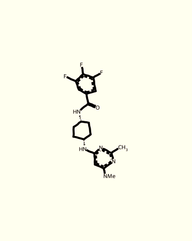 CNc1cc(N[C@H]2CC[C@@H](NC(=O)c3cc(F)c(F)c(F)c3)CC2)nc(C)n1